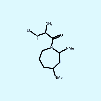 CCNC(N)C(=O)N1CCCC(NC)CC1NC